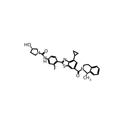 C[C@@H]1c2ccccc2CCN1C(=O)c1cc(C2CC2)c2nc(-c3ccc(NC(=O)N4CC[C@@H](O)C4)cc3F)sc2c1